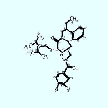 CC[C@H](CN1CC[C@@H](CNC(=O)c2ccc(Cl)c(Cl)c2)N[C@@H](CCN(C(C)C)C(C)C)C1=O)c1ccccc1